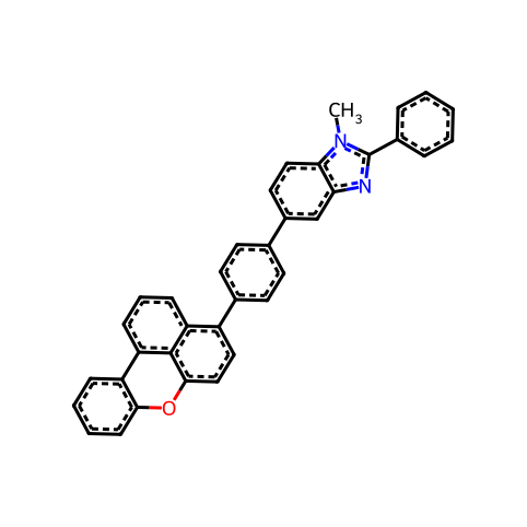 Cn1c(-c2ccccc2)nc2cc(-c3ccc(-c4ccc5c6c(cccc46)-c4ccccc4O5)cc3)ccc21